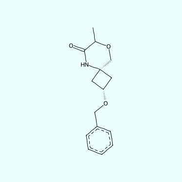 CC1OC[C@]2(C[C@@H](OCc3ccccc3)C2)NC1=O